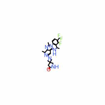 Cc1nc(NC(C)c2cccc(C(F)F)c2F)c2cc(N3CC4(CNC(=O)C4)C3)nc(C)c2n1